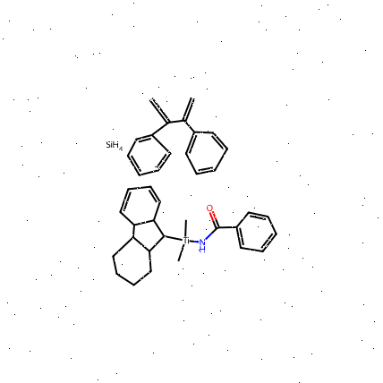 C=C(C(=C)c1ccccc1)c1ccccc1.[CH3][Ti]([CH3])([NH]C(=O)c1ccccc1)[CH]1C2C=CC=CC2C2CCCCC21.[SiH4]